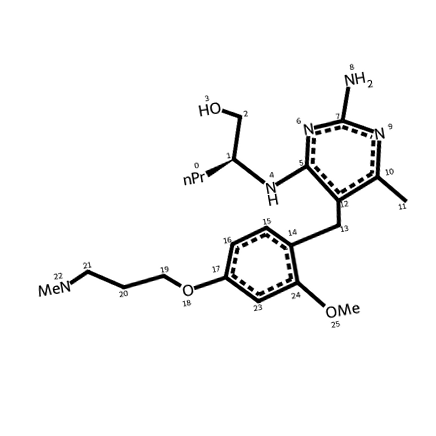 CCC[C@@H](CO)Nc1nc(N)nc(C)c1Cc1ccc(OCCCNC)cc1OC